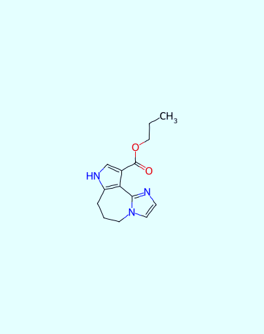 CCCOC(=O)c1c[nH]c2c1-c1nccn1CCC2